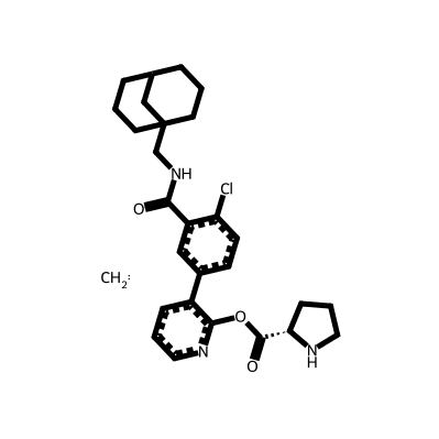 O=C(NCC12CCCC(CCC1)C2)c1cc(-c2cccnc2OC(=O)[C@@H]2CCCN2)ccc1Cl.[CH2]